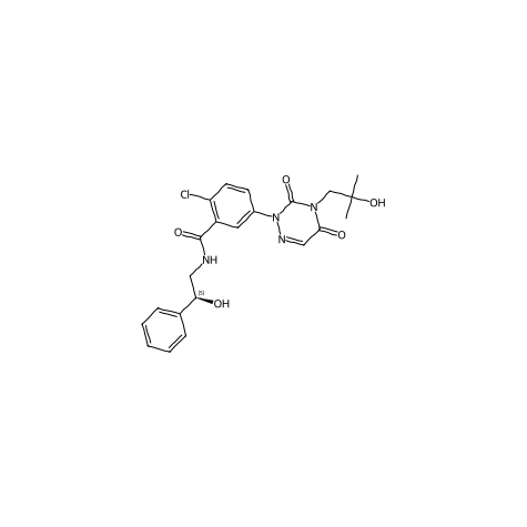 CC(C)(O)Cn1c(=O)cnn(-c2ccc(Cl)c(C(=O)NC[C@@H](O)c3ccccc3)c2)c1=O